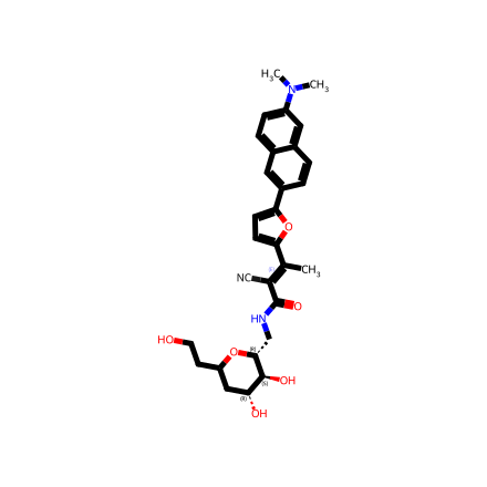 C/C(=C(/C#N)C(=O)NC[C@H]1OC(CCO)C[C@@H](O)[C@@H]1O)c1ccc(-c2ccc3cc(N(C)C)ccc3c2)o1